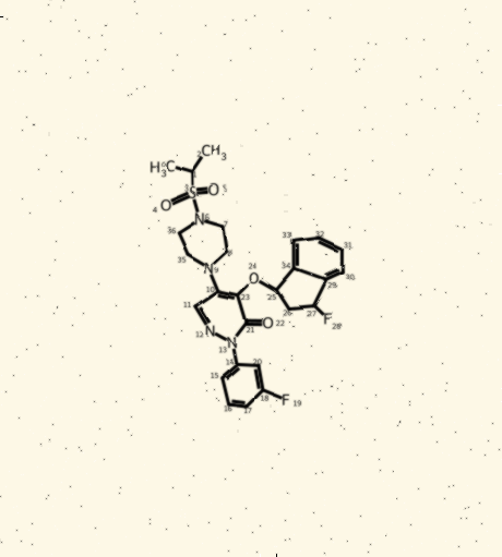 CC(C)S(=O)(=O)N1CCN(c2cnn(-c3cccc(F)c3)c(=O)c2OC2CC(F)c3ccccc32)CC1